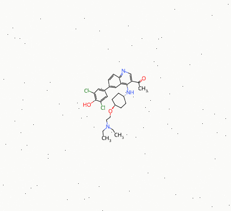 CCN(CC)CCO[C@H]1CC[C@H](Nc2c(C(C)=O)cnc3ccc(-c4cc(Cl)c(O)c(Cl)c4)cc23)CC1